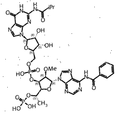 CO[C@@H]1[C@H](OP(=O)(O)OC[C@H]2O[C@@H](n3cnc4c(=O)[nH]c(NC(=O)C(C)C)nc43)[C@H](O)[C@@H]2O)C([C@H](C)OP(=O)(O)O)O[C@H]1n1cnc2c(NC(=O)c3ccccc3)ncnc21